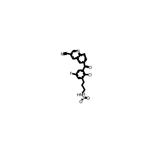 N#Cc1cnc2ccc(C(=O)c3cc(F)cc(CCCN[SH](=O)=O)c3Cl)cc2c1